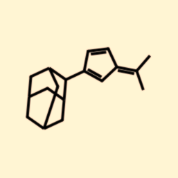 CC(C)=C1C=CC(C2C3CC4CC(C3)CC2C4)=C1